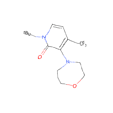 CC(C)(C)n1ccc(C(F)(F)F)c(N2CCOCC2)c1=O